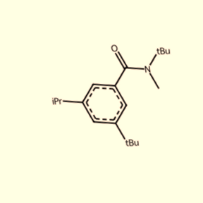 CC(C)c1cc(C(=O)N(C)C(C)(C)C)cc(C(C)(C)C)c1